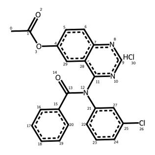 CC(=O)Oc1ccc2ncnc(N(C(=O)c3ccccc3)c3cccc(Cl)c3)c2c1.Cl